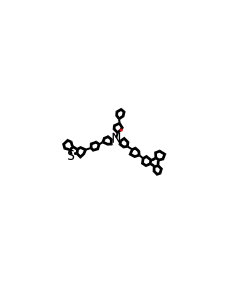 c1ccc(-c2ccc(N(c3ccc(-c4ccc(-c5ccc6sc7ccccc7c6c5)cc4)cc3)c3ccc(-c4ccc(-c5ccc6c7ccccc7c7ccccc7c6c5)cc4)cc3)cc2)cc1